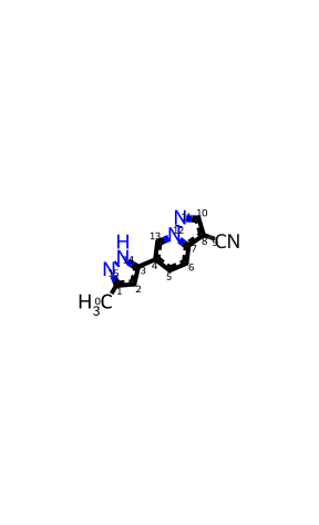 Cc1cc(-c2ccc3c(C#N)cnn3c2)[nH]n1